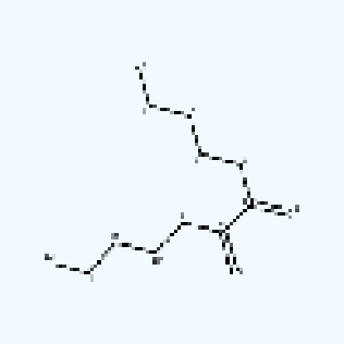 C=C(CCCCC)C(=C)CCCCC